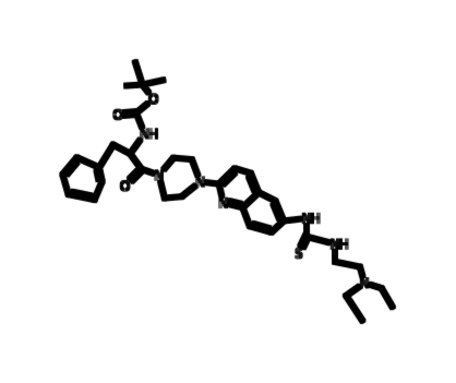 CCN(CC)CCNC(=S)Nc1ccc2nc(N3CCN(C(=O)C(Cc4ccccc4)NC(=O)OC(C)(C)C)CC3)ccc2c1